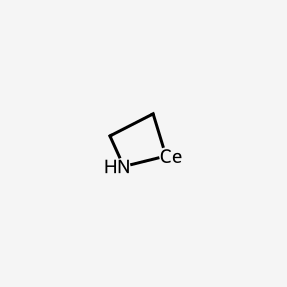 C1[CH2][Ce][NH]1